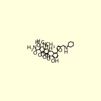 CN(C)C1C(O)=C(C(N)=O)C(=O)[C@]2(O)C(O)=C3C(=O)c4c(O)ccc(-c5ccc(CNC6CCCCC6)o5)c4C[C@@H]3C[C@H]12